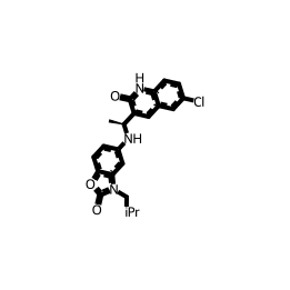 CC(C)Cn1c(=O)oc2ccc(N[C@@H](C)c3cc4cc(Cl)ccc4[nH]c3=O)cc21